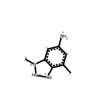 Cc1cc(N)cc2c1NNN2C